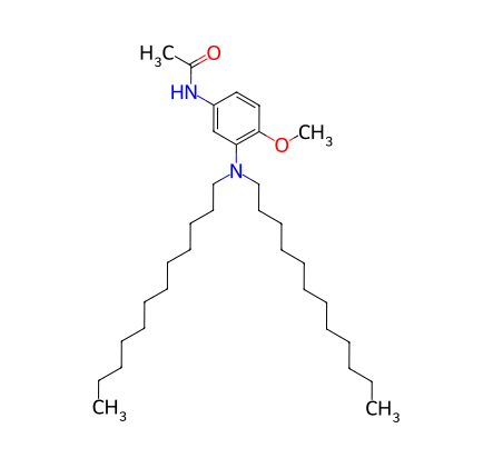 CCCCCCCCCCCCN(CCCCCCCCCCCC)c1cc(NC(C)=O)ccc1OC